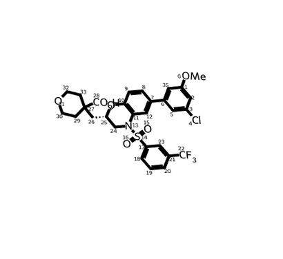 COc1cc(Cl)cc(-c2ccc3c(c2)N(S(=O)(=O)c2cccc(C(F)(F)F)c2)C[C@H](CC2(C(=O)O)CCOCC2)O3)c1